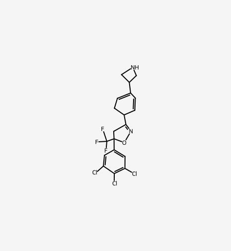 FC(F)(F)C1(c2cc(Cl)c(Cl)c(Cl)c2)CC(C2C=CC(C3CNC3)=CC2)=NO1